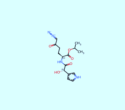 CC(C)OC(=O)[C@H](CCC(=O)C=[N+]=[N-])NC(=O)[C@@H](O)c1cc[nH]c1